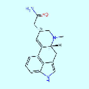 CN1C[C@@H](CC(N)=O)C=C2c3cccc4[nH]cc(c34)C[C@H]21